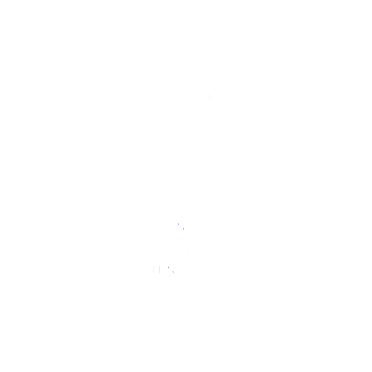 NC(=S)NCCCCCF